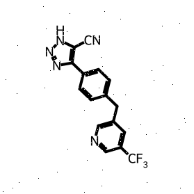 N#Cc1[nH]nnc1-c1ccc(Cc2cncc(C(F)(F)F)c2)cc1